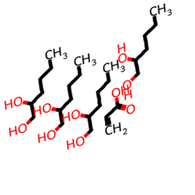 C=CC(=O)O.CCCCC(O)CO.CCCCC(O)CO.CCCCC(O)CO.CCCCC(O)CO